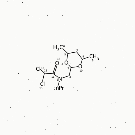 CCCN(CC1OC(C)CC(C)O1)C(=O)C(Cl)Cl